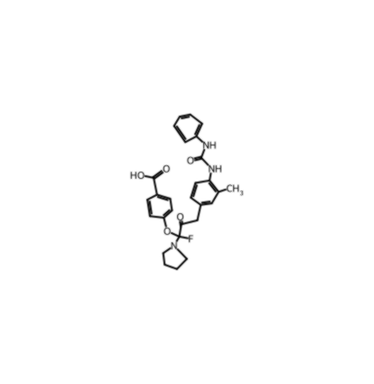 Cc1cc(CC(=O)C(F)(Oc2ccc(C(=O)O)cc2)N2CCCC2)ccc1NC(=O)Nc1ccccc1